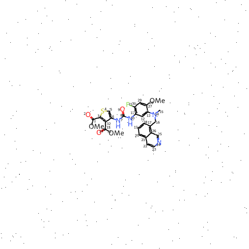 COC(=O)c1scc(NC(=O)Nc2cc(N(C)Cc3cccc4ccncc34)c(OC)cc2F)c1C(=O)OC